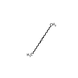 CCCCCCCCCC=C[P]C=CCCCCCCCCC